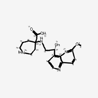 COc1ccc2nccc([C@@H](O)CNC3(C(=O)O)CCCNCC3)c2n1